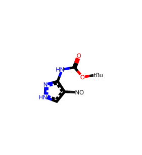 CC(C)(C)OC(=O)Nc1n[nH]cc1N=O